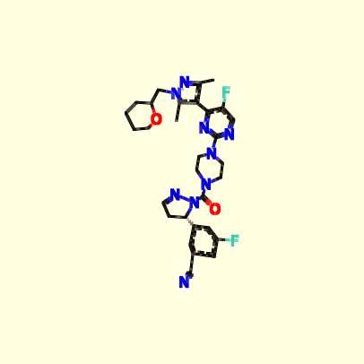 Cc1nn(CC2CCCCO2)c(C)c1-c1nc(N2CCN(C(=O)N3N=CC[C@H]3c3cc(F)cc(C#N)c3)CC2)ncc1F